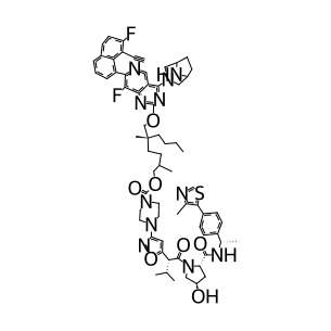 C#Cc1c(F)ccc2cccc(-c3ncc4c(N5CC6CCC(C5)N6)nc(OC[C@](C)(CCCC)CCC(C)COC(=O)N5CCN(c6cc([C@H](C(=O)N7C[C@H](O)C[C@H]7C(=O)N[C@@H](C)c7ccc(-c8scnc8C)cc7)C(C)C)on6)CC5)nc4c3F)c12